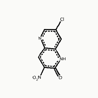 O=c1[nH]c2cc(Cl)cnc2cc1[N+](=O)[O-]